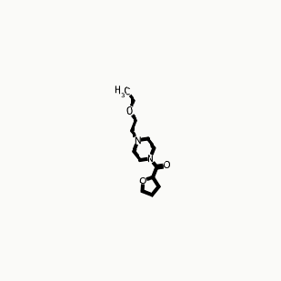 CCOCCN1CCN(C(=O)C2CCCO2)CC1